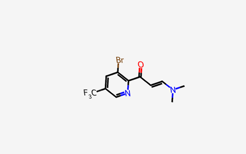 CN(C)/C=C/C(=O)c1ncc(C(F)(F)F)cc1Br